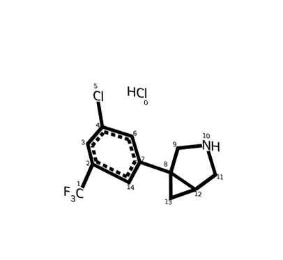 Cl.FC(F)(F)c1cc(Cl)cc(C23CNCC2C3)c1